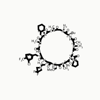 CC[C@H](C)[C@@H]1NC(=O)[C@H](C)N(C)C(=O)C[C@@H](C(=O)N2CCCCC2)N(C)C(=O)[C@H](C(C)C)N(C)C(=O)[C@H](COC)NC(=O)[C@H](CCN2CC(F)(F)C2)N(C)C(=O)[C@H](CCc2ccc(C(F)(F)F)c(Cl)c2)NC(=O)CN(C)C(=O)[C@H](CC2CCCCC2)N(C)C(=O)CN(C)C(=O)CN(C)C1=O